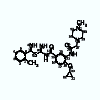 Cc1ccccc1C(=N)SC(=N)NC(=O)c1ccc(OC2CC2)c(NC(=O)CN2CCN(C)CC2)c1